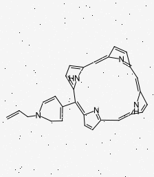 C=CCN1C=CC(c2c3nc(cc4ccc(cc5nc(cc6ccc2[nH]6)C=C5)[nH]4)C=C3)=CC1